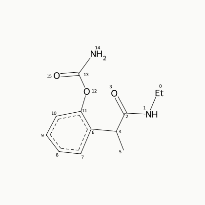 CCNC(=O)C(C)c1ccccc1OC(N)=O